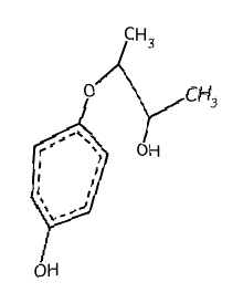 CC(O)C(C)Oc1ccc(O)cc1